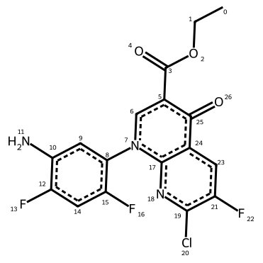 CCOC(=O)c1cn(-c2cc(N)c(F)cc2F)c2nc(Cl)c(F)cc2c1=O